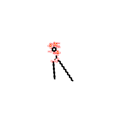 CC#CC#CC#CC#CC(=O)OC[C@H](COP(=O)(O)OC1C(O)[C@@H](O)C(OP(=O)(O)O)[C@@H](OP(=O)(O)O)[C@H]1O)OC(=O)CCCCCCCCCCCCCCC